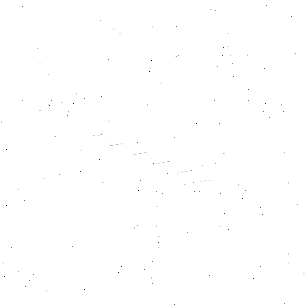 CCC(N)CCCCCCCCCO